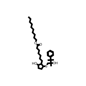 CCCCCCCCCCOC(=O)CCCCCCC1C(O)CCC1SCC(C)(O)C(C)(C)c1ccccc1